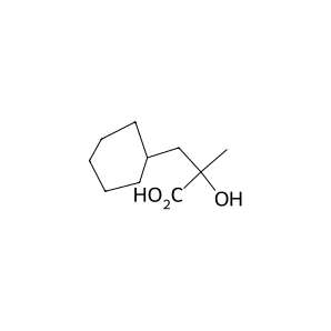 CC(O)(CC1CCCCC1)C(=O)O